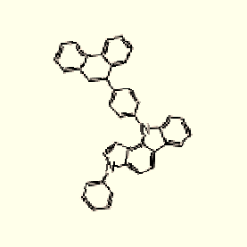 c1ccc(-n2ccc3c2ccc2c4ccccc4n(-c4ccc(-c5cc6ccccc6c6ccccc56)cc4)c23)cc1